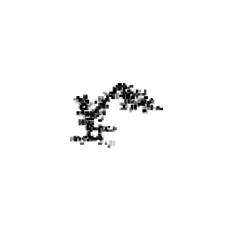 CCCCCC[C@H](NC(=O)CC[C@H](NC(=O)N[C@@H](CCC(=O)N[C@H](CCCNC(=O)CCC(=O)NCCCC[C@H](CC(O)O)NC(=O)[C@@H](CNC(=O)c1ccc([Si](F)(C(C)(C)C)C(C)(C)C)cc1)NC(=O)CN1CCN(CC(=O)O)CCN(CC(=O)O)CCN(CC(=O)O)CC1)C(=O)O)C(=O)O)C(=O)O)C(O)O